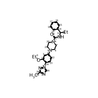 CCOc1cc(N2CCN(C(=O)NC(CC)c3ccccc3)CC2)ccc1-n1cnc(C)n1